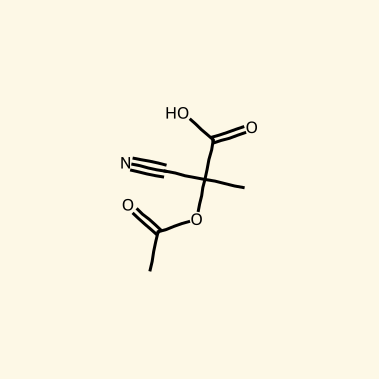 CC(=O)OC(C)(C#N)C(=O)O